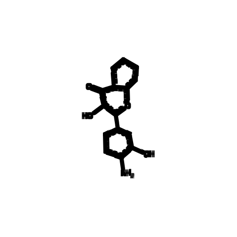 Nc1ccc(-c2oc3ccccc3c(=O)c2O)cc1O